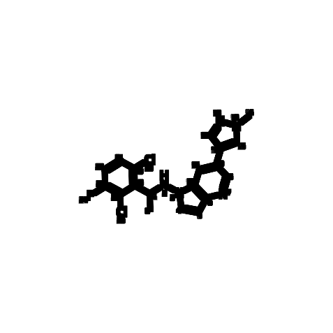 CC(Nn1ccc2ncc(-c3cnn(C)c3)cc21)c1c(Cl)ccc(F)c1Cl